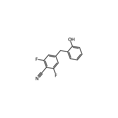 N#Cc1c(F)cc(Cc2ccccc2O)cc1F